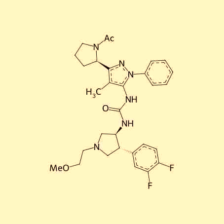 COCCN1C[C@@H](NC(=O)Nc2c(C)c([C@H]3CCCN3C(C)=O)nn2-c2ccccc2)[C@H](c2ccc(F)c(F)c2)C1